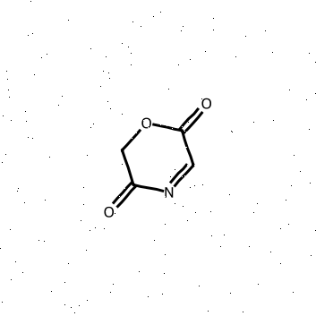 O=C1COC(=O)C=N1